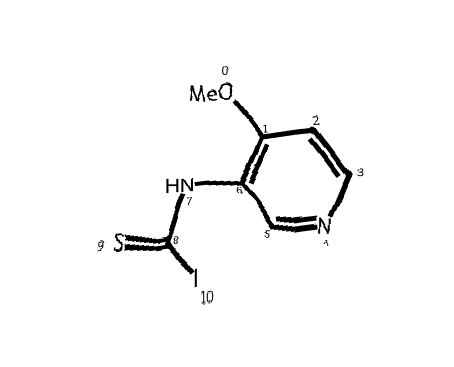 COc1ccncc1NC(=S)I